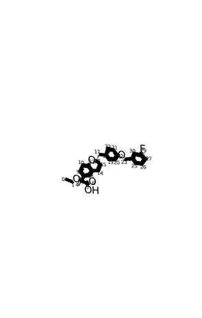 CCO[C@](C)(C(=O)O)c1ccc2c(c1)C=C[C@@H](Cc1ccc(OCc3cccc(F)c3)cc1)O2